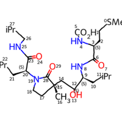 CSCC[C@H](NC(=O)O)C(=O)N[C@@H](CC(C)C)[C@@H](O)C[C@]1(C)CCN([C@@H](CC(C)C)C(=O)NCC(C)C)C1=O